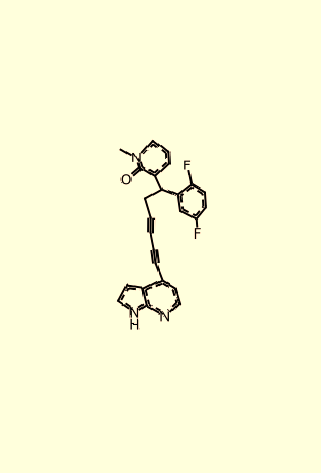 Cn1cccc(C(CC#CC#Cc2ccnc3[nH]ccc23)c2cc(F)ccc2F)c1=O